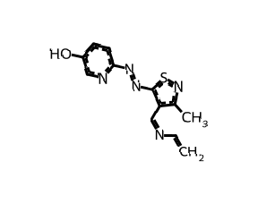 C=C/N=C\c1c(C)nsc1/N=N/c1ccc(O)cn1